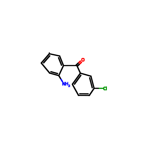 Nc1cc[c]cc1C(=O)c1cccc(Cl)c1